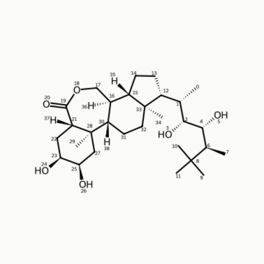 C[C@H]([C@@H](O)[C@H](O)[C@@H](C)C(C)(C)C)[C@H]1CC[C@H]2[C@@H]3COC(=O)[C@H]4C[C@H](O)[C@H](O)C[C@]4(C)[C@H]3CC[C@]12C